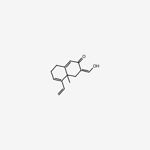 C=CC1=CCCC2=CC(=O)/C(=C\O)CC12C